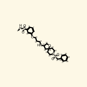 CNS(=O)(=O)c1cccc(OCCCNC2COC3(CCN(S(=O)(=O)Cc4ccccc4)CC3)C2)c1